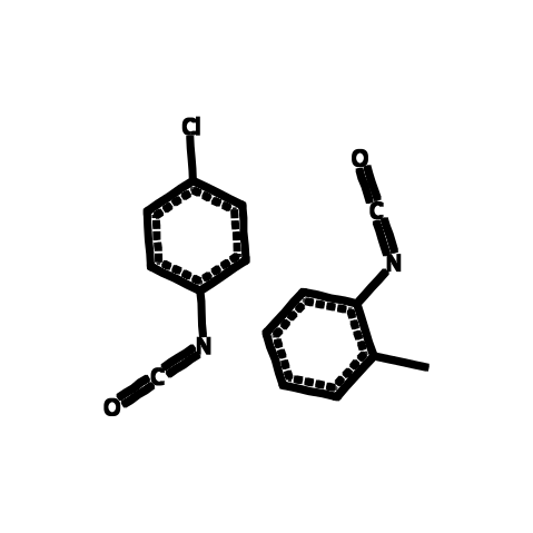 Cc1ccccc1N=C=O.O=C=Nc1ccc(Cl)cc1